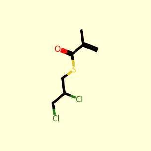 C=C(C)C(=O)SCC(Cl)CCl